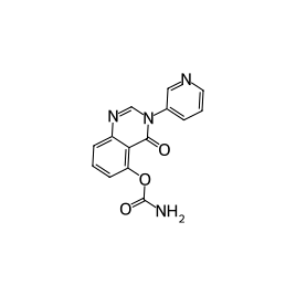 NC(=O)Oc1cccc2ncn(-c3cccnc3)c(=O)c12